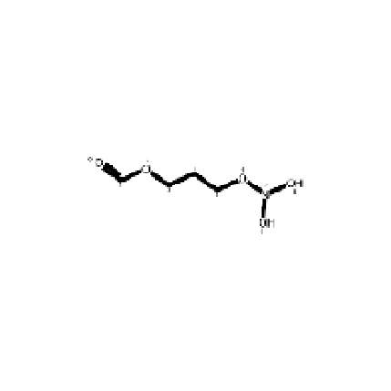 O=COCCCON(O)O